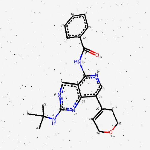 CC(C)(C)Nc1ncc2c(NC(=O)c3ccccc3)ncc(C3=CCOCC3)c2n1